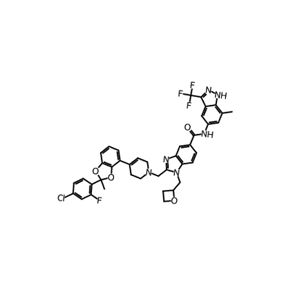 Cc1cc(NC(=O)c2ccc3c(c2)nc(CN2CC=C(c4cccc5c4OC(C)(c4ccc(Cl)cc4F)O5)CC2)n3CC2CCO2)cc2c(C(F)(F)F)n[nH]c12